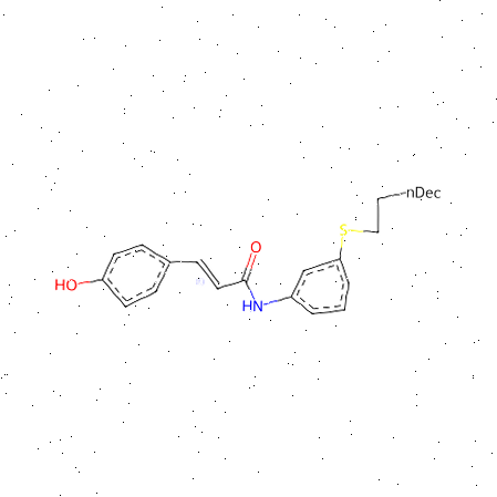 CCCCCCCCCCCCSc1cccc(NC(=O)/C=C/c2ccc(O)cc2)c1